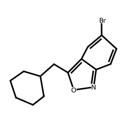 Brc1ccc2noc(CC3CCCCC3)c2c1